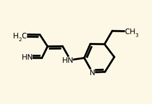 C=C/C(C=N)=C/NC1=CC(CC)CC=N1